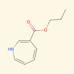 CCCOC(=O)C1=CNC=CC=C1